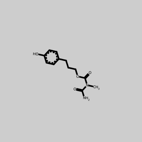 CN(C(N)=O)C(=O)OCCCc1ccc(O)cc1